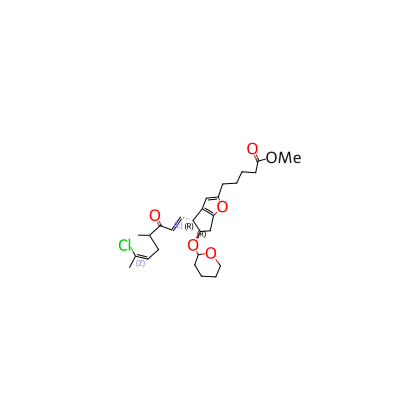 COC(=O)CCCCc1cc2c(o1)C[C@@H](OC1CCCCO1)[C@@H]2/C=C/C(=O)C(C)C/C=C(/C)Cl